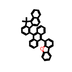 CC1(C)c2cccc(-c3c4ccccc4c(-c4cccc5c4oc4ccccc45)c4ccccc34)c2-c2ccc3ccccc3c21